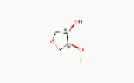 O[C@@H]1CO[CH][C@@H]1OF